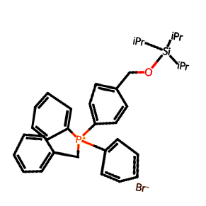 CC(C)[Si](OCc1ccc([P+](Cc2ccccc2)(c2ccccc2)c2ccccc2)cc1)(C(C)C)C(C)C.[Br-]